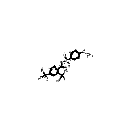 COc1ccc(S(=O)(=O)NC(=O)c2ccc(C(F)(F)F)cc2C(F)(F)F)cc1